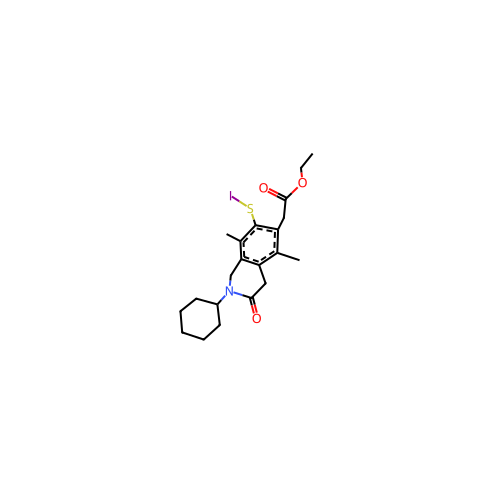 CCOC(=O)Cc1c(C)c2c(c(C)c1SI)CN(C1CCCCC1)C(=O)C2